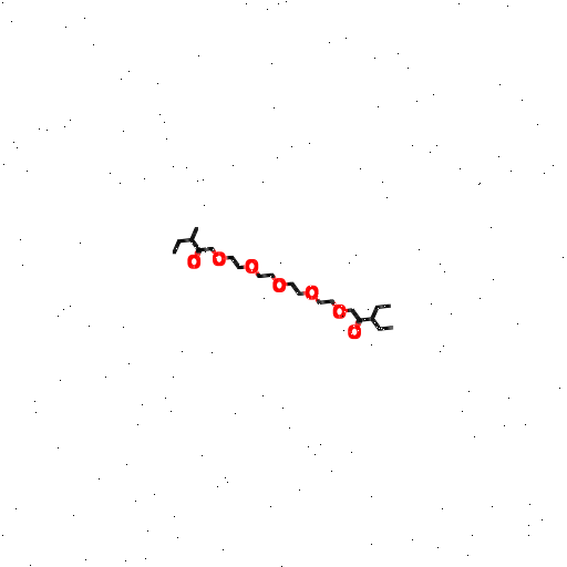 CCC(C)C(=O)COCCOCCOCCOCCOCC(=O)C(CC)CC